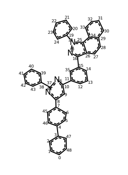 c1ccc(-c2ccc(-c3cc(-c4cccc(-c5nn(-c6ccccc6)c6c5ccc5ccccc56)c4)nc(-c4ccccc4)n3)cc2)cc1